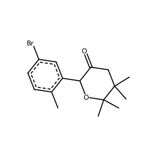 Cc1ccc(Br)cc1C1OC(C)(C)C(C)(C)CC1=O